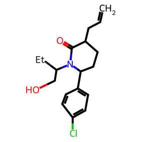 C=CCC1CCC(c2ccc(Cl)cc2)N(C(CC)CO)C1=O